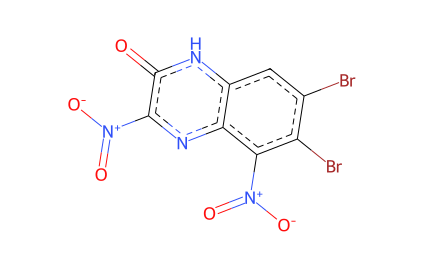 O=c1[nH]c2cc(Br)c(Br)c([N+](=O)[O-])c2nc1[N+](=O)[O-]